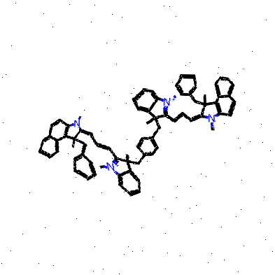 CN1/C(=C/C=C/C2=[N+](C)c3ccccc3C2(C)Cc2ccc(CC3(C)C(/C=C/C=C4/N(C)c5ccc6ccccc6c5C4(C)Cc4ccccc4)=[N+](C)c4ccccc43)cc2)C(C)(Cc2ccccc2)c2c1ccc1ccccc21